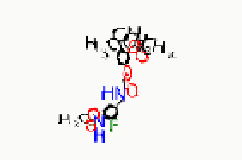 CC(=O)Oc1cc(OCC(=O)NCc2ccc(NS(C)(=O)=O)c(F)c2)ccc1C(C)(C)C